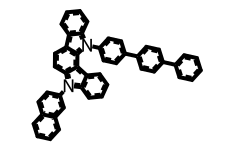 c1ccc(-c2ccc(-c3ccc(-n4c5ccccc5c5ccc6c(c7ccccc7n6-c6ccc7ccccc7c6)c54)cc3)cc2)cc1